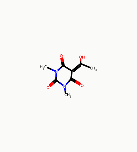 CC(O)=C1C(=O)N(C)C(=O)N(C)C1=O